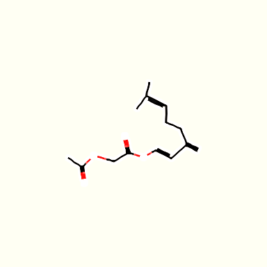 C=C(C=COC(=O)COC(C)=O)CCC=C(C)C